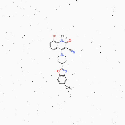 Cc1ccc2oc(C3CCN(c4c(C#N)c(=O)n(C)c5c(Br)cccc45)CC3)nc2c1